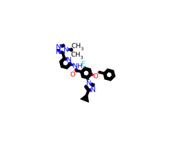 CC(C)n1cnnc1-c1cccc(NC(=O)c2cc(-n3cnc(C4CC4)c3)c(OCc3ccccc3)cc2F)n1